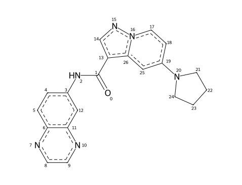 O=C(Nc1ccc2nccnc2c1)c1cnn2ccc(N3CCCC3)cc12